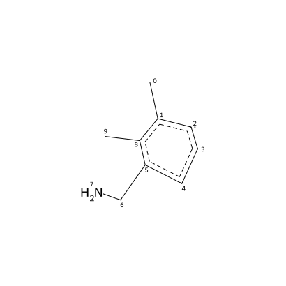 Cc1[c]ccc(CN)c1C